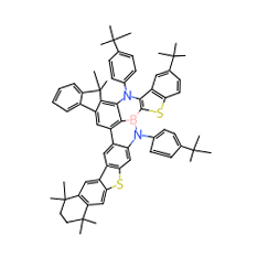 CC(C)(C)c1ccc(N2B3c4sc5ccc(C(C)(C)C)cc5c4N(c4ccc(C(C)(C)C)cc4)c4c3c(cc3c4C(C)(C)c4ccccc4-3)-c3cc4c(cc32)sc2cc3c(cc24)C(C)(C)CCC3(C)C)cc1